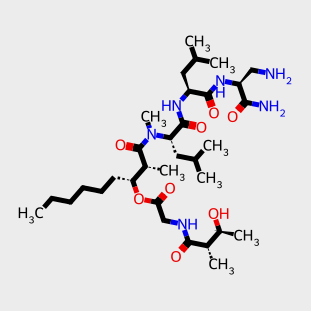 CCCCCC[C@@H](OC(=O)CNC(=O)[C@@H](C)[C@H](C)O)[C@@H](C)C(=O)N(C)[C@@H](CC(C)C)C(=O)N[C@@H](CC(C)C)C(=O)N[C@@H](CN)C(N)=O